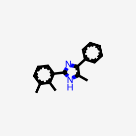 Cc1cccc(-c2nc(-c3ccccc3)c(C)[nH]2)c1C